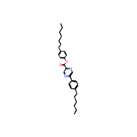 CCCCCCCc1ccc(OC(=O)c2cnc(-c3ccc(CCCCCC)cc3)cn2)cc1